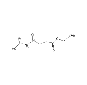 CC(=O)OCOC(=O)CCC(=O)NC(C(C)=O)C(C)C